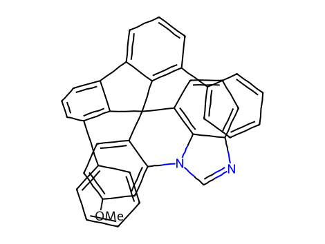 COc1ccc2c(c1)-n1cnc3cccc(c31)C21c2c(-c3ccccc3)cccc2-c2cccc(-c3ccccc3)c21